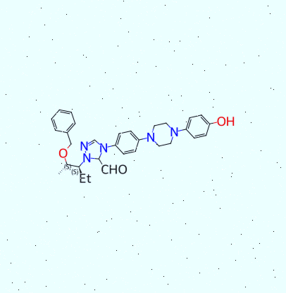 CC[C@@H]([C@H](C)OCc1ccccc1)N1N=CN(c2ccc(N3CCN(c4ccc(O)cc4)CC3)cc2)C1C=O